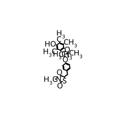 Cc1c(C)c(OC(C)(C)COc2ccc(CC3SC(=O)N(C)C3=O)cc2)c(C)c(C)c1O